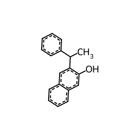 CC(c1ccccc1)c1cc2ccccc2cc1O